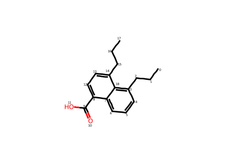 CCCc1cccc2c(C(=O)O)ccc(CCC)c12